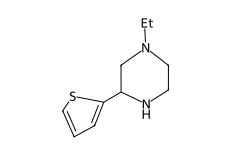 CCN1CCNC(c2cccs2)C1